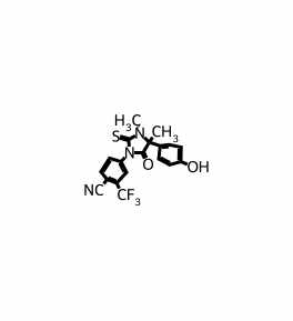 CN1C(=S)N(c2ccc(C#N)c(C(F)(F)F)c2)C(=O)C1(C)c1ccc(O)cc1